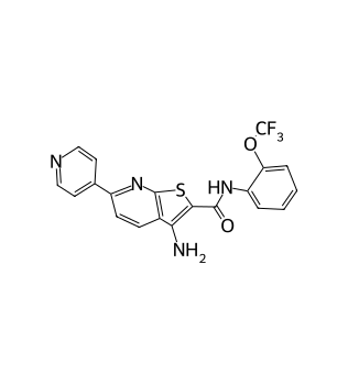 Nc1c(C(=O)Nc2ccccc2OC(F)(F)F)sc2nc(-c3ccncc3)ccc12